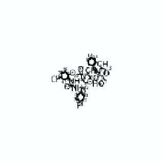 CC1CO[C@@H](CO)C(=O)N1Cc1ccccc1.C[C@@H]1CO[C@H](CCc2ccc(F)cc2)CN1C(=O)COc1ccc(Cl)cc1NC(N)=O